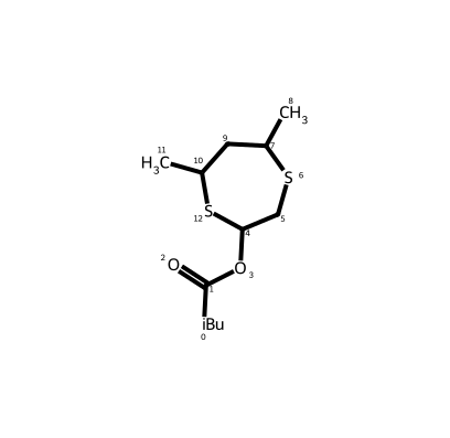 CCC(C)C(=O)OC1CSC(C)CC(C)S1